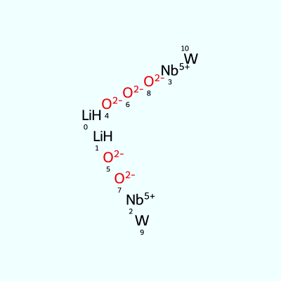 [LiH].[LiH].[Nb+5].[Nb+5].[O-2].[O-2].[O-2].[O-2].[O-2].[W].[W]